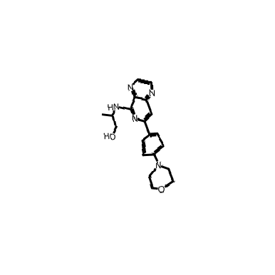 CC(CO)Nc1nc(-c2ccc(N3CCOCC3)cc2)cc2nccnc12